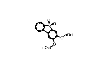 CCCCCCCCOc1cc2c(cc1OCCCCCCCC)S(=O)(=O)c1ccccc1-2